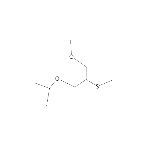 CSC(COI)COC(C)C